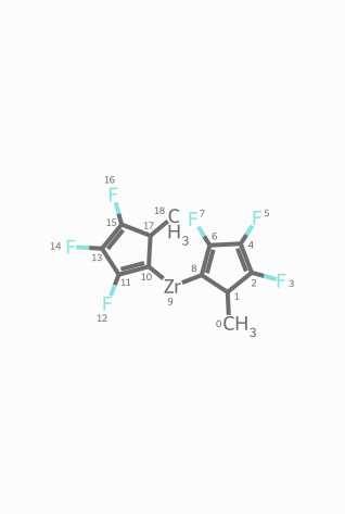 CC1C(F)=C(F)C(F)=[C]1[Zr][C]1=C(F)C(F)=C(F)C1C